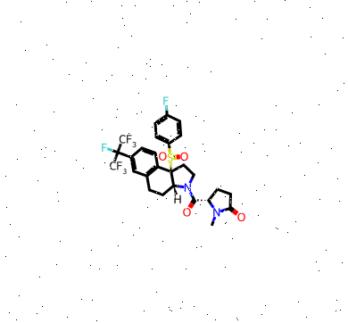 CN1C(=O)CC[C@H]1C(=O)N1CC[C@@]2(S(=O)(=O)c3ccc(F)cc3)c3ccc(C(F)(C(F)(F)F)C(F)(F)F)cc3CC[C@@H]12